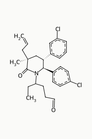 C=CC[C@@]1(C)C[C@H](c2cccc(Cl)c2)[C@@H](c2ccc(Cl)cc2)N(C(CC)CCC=O)C1=O